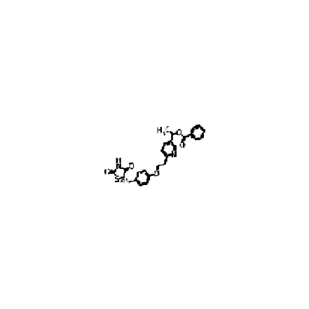 CC(OC(=O)c1ccccc1)c1ccc(CCOc2ccc(C[C@@H]3SC(=O)NC3=O)cc2)nc1